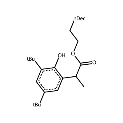 CCCCCCCCCCCCOC(=O)C(C)c1cc(C(C)(C)C)cc(C(C)(C)C)c1O